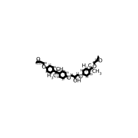 CC(C)(OCC1CO1)C1CCC(OCC(O)COC2CCC(C(C)(C)C3CCC(OCC4CO4)CC3)CC2)CC1